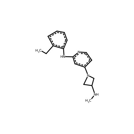 CCc1ccccc1Nc1cc(N2CC(NC)C2)ccn1